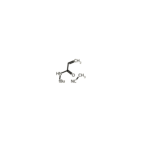 C=CC(=O)NC(C)(C)C.CC#N